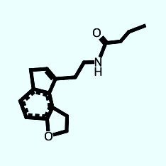 CCCC(=O)NCCC1=CCc2ccc3c(c21)CCO3